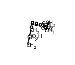 C1=C2CCC(=C1)C2.C1=C2CCC(=C1)C2.C1=CCC=C1.C1=CCC=C1.C=C.C=CCCC(=O)O.C=CCCC=C.C=CCCC=C.C=CCOC(C)=O